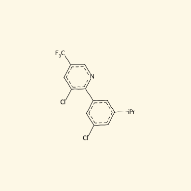 CC(C)c1cc(Cl)cc(-c2ncc(C(F)(F)F)cc2Cl)c1